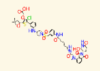 CN(CC(=O)NCCCCCCC(=O)Nc1cccc(CS(=O)(=O)N2CCC(Nc3cccc(-c4sc(C(=O)CC(C)(C)C)c(OCC(=O)O)c4Cl)c3)CC2)c1)c1cccc2c1C(=O)N(C1CCC(=O)NC1O)C2=O